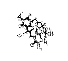 Cc1c(CN(NC(=O)OC(C)(C)C)C(N)=O)sc2c1c(=O)n(C1CC1)c(=O)n2CC1CCC(F)(F)C1